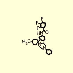 CC1CCC(c2cccc(NC(=O)c3ccc(F)c(F)c3F)c2)(N2CCN(c3ccccc3)CC2)CC1